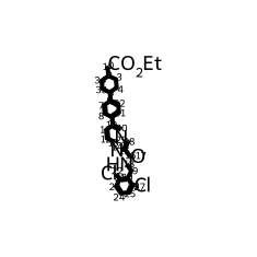 CCOC(=O)CC1CCC(c2ccc(-c3ccc4nc(C(=O)NCc5c(Cl)cccc5Cl)cn4c3)cc2)CC1